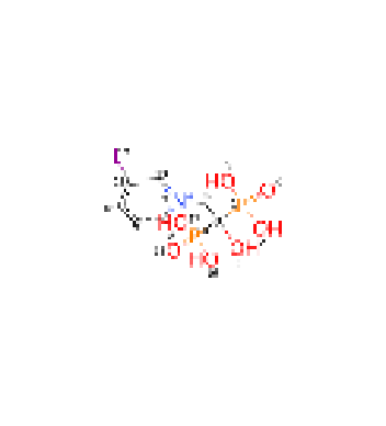 O=P(O)(O)C(O)(C[n+]1cccc(I)c1)P(=O)(O)O